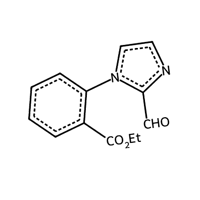 CCOC(=O)c1ccccc1-n1ccnc1C=O